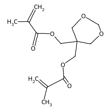 C=C(C)C(=O)OCC1(COC(=O)C(=C)C)COCOC1